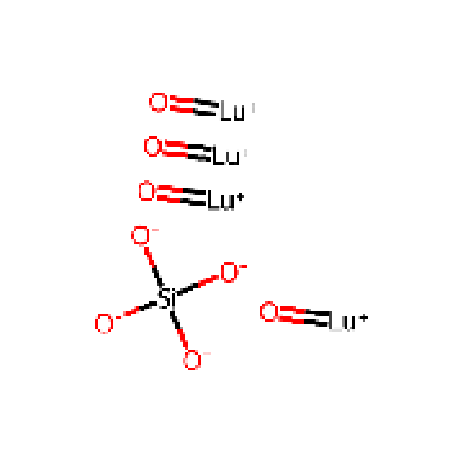 [O-][Si]([O-])([O-])[O-].[O]=[Lu+].[O]=[Lu+].[O]=[Lu+].[O]=[Lu+]